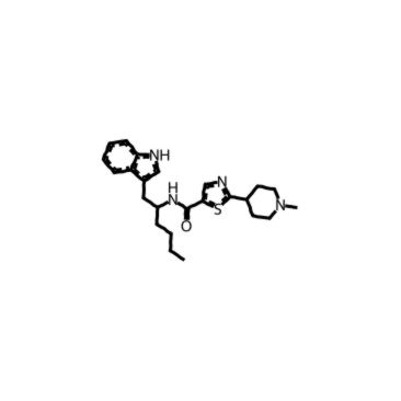 CCCCC(Cc1c[nH]c2ccccc12)NC(=O)c1cnc(C2CCN(C)CC2)s1